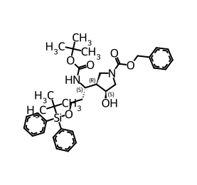 CC(C)(C)OC(=O)N[C@@H](CCO[Si](c1ccccc1)(c1ccccc1)C(C)(C)C)[C@H]1CN(C(=O)OCc2ccccc2)C[C@H]1O